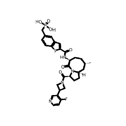 C[C@H]1CC[C@H](NC(=O)c2cc3cc(CP(=O)(O)O)ccc3s2)C(=O)N2[C@H](CC[C@H]2C(=O)N2CC(c3cnccc3F)C2)C1